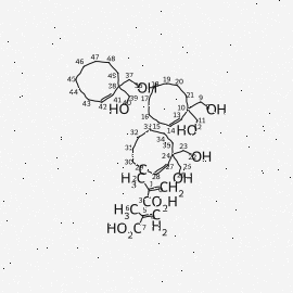 C=C(C)C(=O)O.C=C(C)C(=O)O.OCC1(CO)C=CCCCCCCC1.OCC1(CO)C=CCCCCCCC1.OCC1(CO)C=CCCCCCCC1